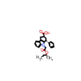 CCC(C)OC(=O)Cn1c2c(c3ccccc31)CC(C(=O)O)C[C@@H]2c1ccccc1